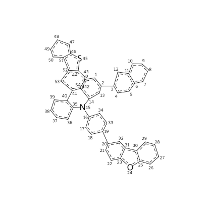 c1cc(-c2ccc3ccccc3c2)cc(N(c2ccc(-c3ccc4oc5ccccc5c4c3)cc2)c2ccccc2-c2ccc3sc4ccccc4c3c2)c1